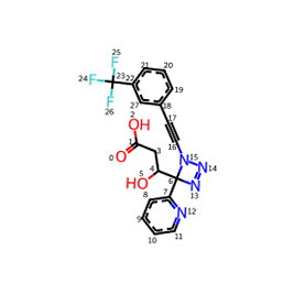 O=C(O)CC(O)C1(c2ccccn2)N=NN1C#Cc1cccc(C(F)(F)F)c1